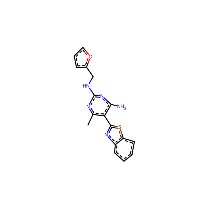 Cc1nc(NCc2ccco2)nc(N)c1-c1nc2ccccc2s1